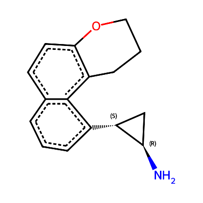 N[C@@H]1C[C@H]1c1cccc2ccc3c(c12)CCCO3